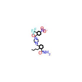 CCCCc1c(CN2CCN(C(=O)c3ccc([N+](=O)[O-])cc3C(F)(F)F)CC2)cccc1C(N)=O